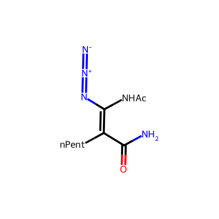 CCCCCC(C(N)=O)=C(N=[N+]=[N-])NC(C)=O